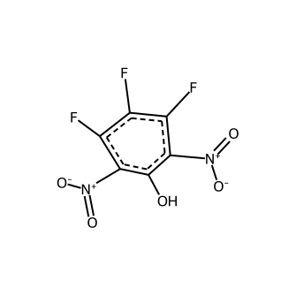 O=[N+]([O-])c1c(O)c([N+](=O)[O-])c(F)c(F)c1F